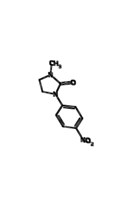 CN1CCN(c2ccc([N+](=O)[O-])cc2)C1=O